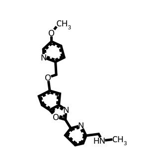 CNCc1cccc(-c2nc3cc(OCc4ccc(OC)cn4)ccc3o2)n1